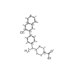 CCC(=O)N1CCC(C(C)c2ccc(-c3cc4ncccc4cc3Cl)cc2)CC1